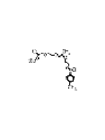 Cc1ccc(S(=O)OCCOC(C)COCCOCC(=O)OC(C)(C)C)cc1